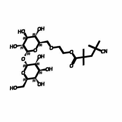 CC(C)(C#N)CC(C)(C)C(=O)OCCOC[C@H]1O[C@H](O[C@H]2O[C@H](CO)[C@@H](O)[C@H](O)[C@H]2O)[C@H](O)[C@@H](O)[C@@H]1O